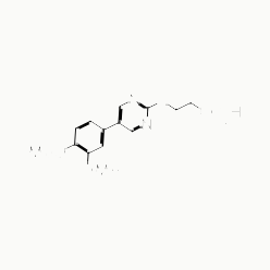 COc1ccc(-c2cnc(SCCC(=O)O)nc2)cc1OC